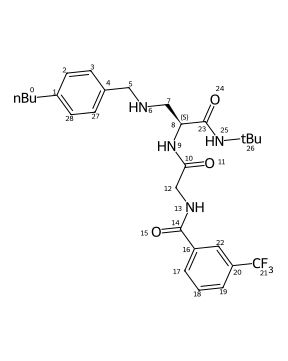 CCCCc1ccc(CNC[C@H](NC(=O)CNC(=O)c2cccc(C(F)(F)F)c2)C(=O)NC(C)(C)C)cc1